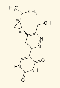 CC(C)[C@H]1C[C@@H]1c1cc(-c2c[nH]c(=O)[nH]c2=O)nnc1CO